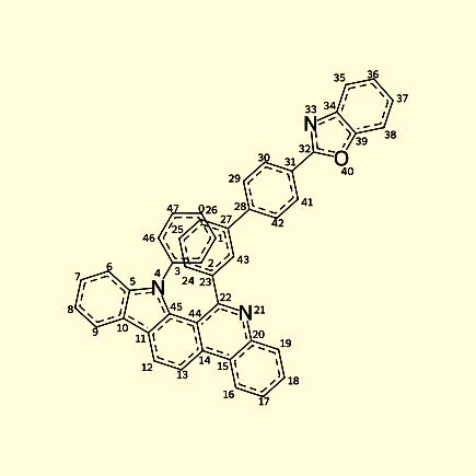 c1ccc(-n2c3ccccc3c3ccc4c5ccccc5nc(-c5cccc(-c6ccc(-c7nc8ccccc8o7)cc6)c5)c4c32)cc1